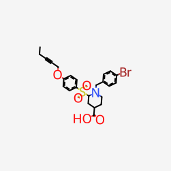 CCC#CCOc1ccc(S(=O)(=O)C2CC(C(=O)O)CCN2Cc2ccc(Br)cc2)cc1